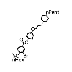 CCCCCC[C@H](C)Oc1ccc(C(=O)Oc2ccc(OCCC[C@H]3CC[C@H](CCCCC)CC3)cc2)cc1Br